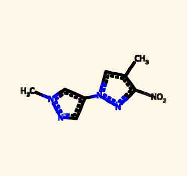 Cc1cn(-c2cnn(C)c2)nc1[N+](=O)[O-]